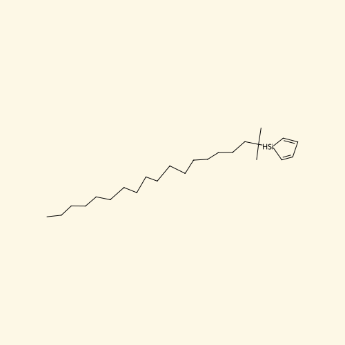 CCCCCCCCCCCCCCCCCC(C)(C)[SiH]1C=CC=C1